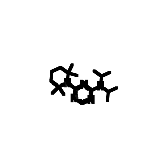 CC(C)N(c1ncnc(N2C(C)(C)CCCC2(C)C)n1)C(C)C